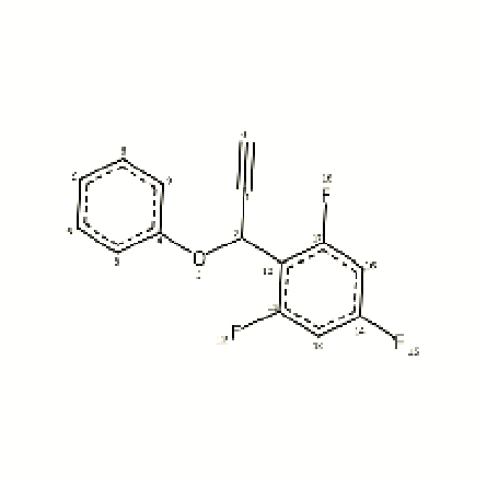 C#CC(Oc1cc[c]cc1)c1c(F)cc(F)cc1F